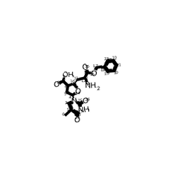 Cc1cn([C@H]2CC(C(=O)O)[C@@H](CC(N)C(=O)OCc3ccccc3)O2)c(=O)[nH]c1=O